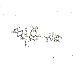 CCn1c(CN(C=O)c2nc3cc[nH]c3nc2N)[n+](CC)c2ccc(OCCNC(=O)OC(C)(C)C)cc21.O=C[O-]